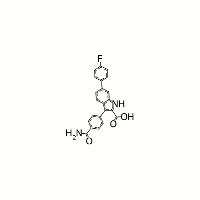 NC(=O)c1ccc(-c2c(C(=O)O)[nH]c3cc(-c4ccc(F)cc4)ccc23)cc1